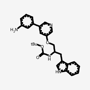 CC(C)(C)OC(=O)NC(COc1cncc(-c2cccc(N)c2)c1)Cc1c[nH]c2ccccc12